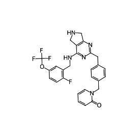 O=c1ccccn1Cc1ccc(Cc2nc3c(c(NCc4cc(OC(F)(F)F)ccc4F)n2)CNC3)cc1